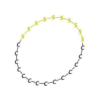 C1CCCCCCCSSSSSSSSSSCCCCCC1